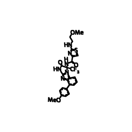 COCCNc1nc(C(=O)NC2(C(F)(F)F)C(=O)Nc3nc4c(-c5ccc(OC)cc5)cccc4n32)cs1